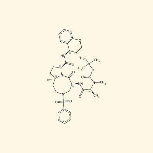 C[C@@H](C(=O)N[C@H]1CN(S(=O)(=O)c2ccccc2)CC[C@H]2CC[C@@H](C(=O)N[C@@H]3CCOc4ccccc43)N2C1=O)N(C)C(=O)OC(C)(C)C